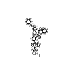 Cc1coc([C@H]2CCCN2C(=O)c2cccc(C(=O)N[C@@H](Cc3ccccc3)[C@@H](O)[C@H]3C[C@@H](OCc4ccccc4)CN3)c2)n1